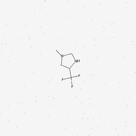 CN1[CH]C(C(F)(F)F)NC1